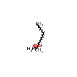 CCCCCCCC/C=C\CCCCCCCC(=O)OCC(C)C(C)=O